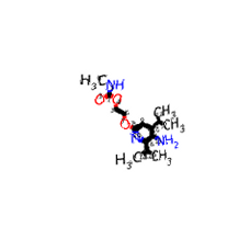 CNC(=O)OCCOc1cc(C(C)C)c(N)c(C(C)C)n1